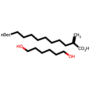 C=C(CCCCCCCCCCCCCCCCCC)C(=O)O.OCCCCCCO